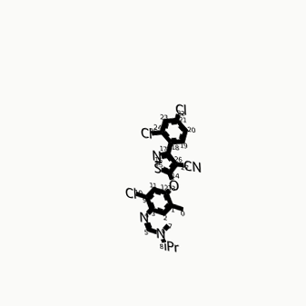 Cc1cc(/N=C\N(C)C(C)C)c(Cl)cc1Oc1snc(-c2ccc(Cl)cc2Cl)c1C#N